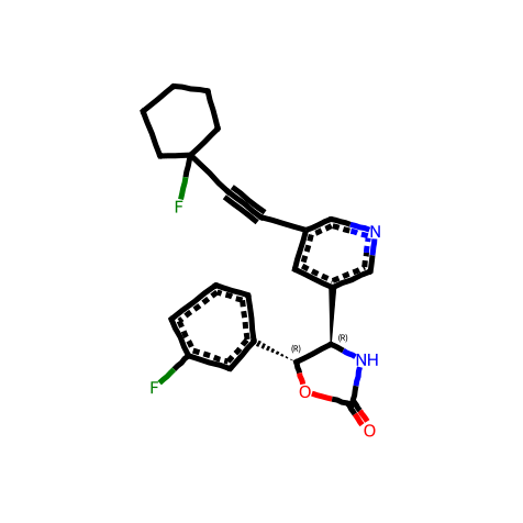 O=C1N[C@H](c2cncc(C#CC3(F)CCCCC3)c2)[C@@H](c2cccc(F)c2)O1